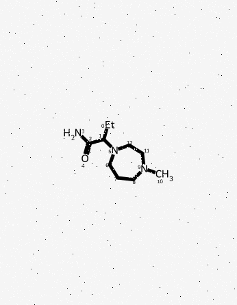 CCC(C(N)=O)N1CCCN(C)CC1